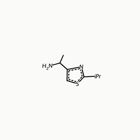 CC(C)c1nc(C(C)N)cs1